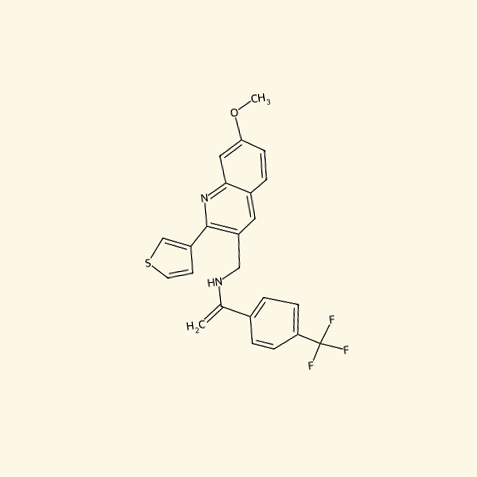 C=C(NCc1cc2ccc(OC)cc2nc1-c1ccsc1)c1ccc(C(F)(F)F)cc1